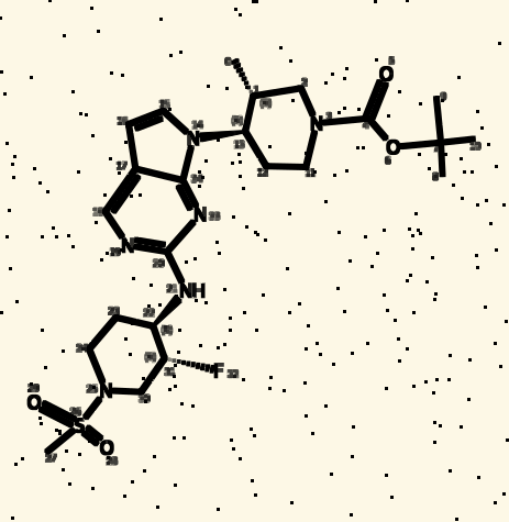 C[C@@H]1CN(C(=O)OC(C)(C)C)CC[C@H]1n1ccc2cnc(N[C@@H]3CCN(S(C)(=O)=O)C[C@H]3F)nc21